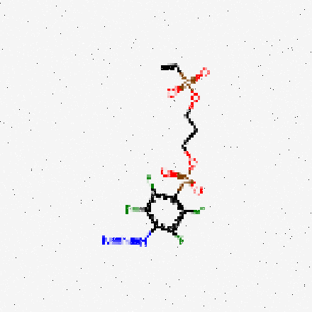 C=CS(=O)(=O)OCCCOS(=O)(=O)c1c(F)c(F)c(N=[N+]=[N-])c(F)c1F